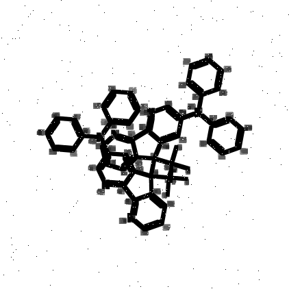 CC(C)(C)C1(C2(C(C)(C)C)c3cccnc3-c3ncc(N(c4ccccc4)c4ccccc4)cc32)c2cccnc2-c2ncc(N(c3ccccc3)c3ccccc3)cc21